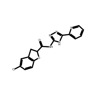 O=C(Nc1nnc(-c2ccccn2)[nH]1)C1Cc2cc(Cl)ccc2O1